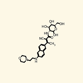 C/C(=C(/C#N)C(=O)N[C@H]1C(O)O[C@H](CO)[C@@H](O)[C@@H]1O)c1ccc2cc(NCCN3CCOCC3)ccc2c1